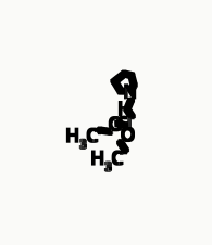 CCCO[SiH](CCCN1CCCCC1)OCCC